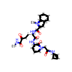 CCNC(=O)C(=O)CC[C@H](NC(=O)c1cc2ccccc2n1CC)C(=O)Nc1cccn(CC(=O)NC23CC(C2)C3)c1=O